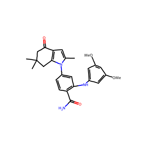 COc1cc(Nc2cc(-n3c(C)cc4c3CC(C)(C)CC4=O)ccc2C(N)=O)cc(OC)c1